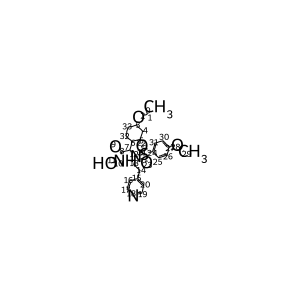 CCOC1CCC(C(C(=O)NO)N(CCc2ccncc2)S(=O)(=O)c2ccc(OC)cc2)CC1